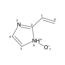 C=CC1=NC=C[NH+]1[O-]